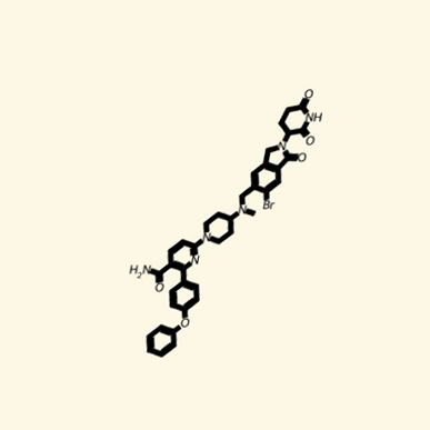 CN(Cc1cc2c(cc1Br)C(=O)N(C1CCC(=O)NC1=O)C2)C1CCN(c2ccc(C(N)=O)c(-c3ccc(Oc4ccccc4)cc3)n2)CC1